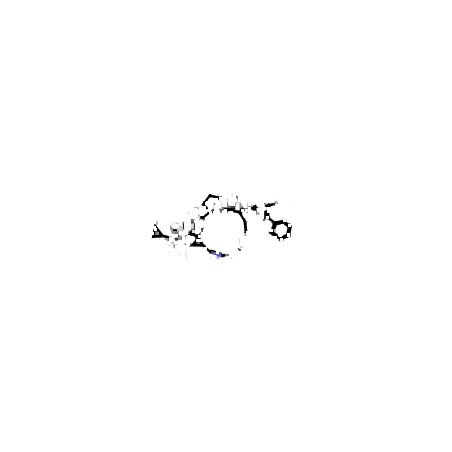 Cc1sc(NC2CCCCC/C=C\C3CC3(C(=O)NS(=O)(=O)C3CC3)NC(=O)C3CCCN3C2=O)nc1-c1ccccc1